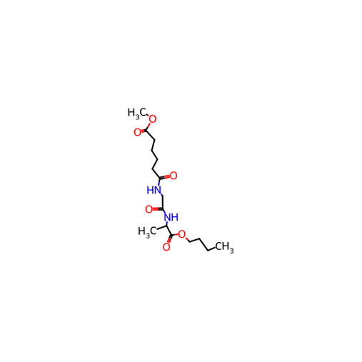 CCCCOC(=O)C(C)NC(=O)CNC(=O)CCCCC(=O)OC